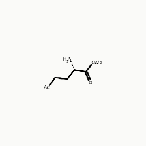 COC(=O)[C@@H](N)CCC(C)=O